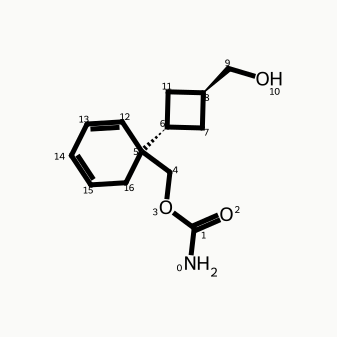 NC(=O)OCC1([C@H]2C[C@H](CO)C2)C=CC=CC1